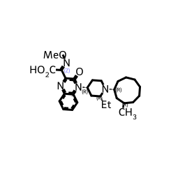 CC[C@@H]1C[C@H](n2c(=O)c(/C(=N/OC)C(=O)O)nc3ccccc32)CCN1[C@@H]1CCCCCC[C@@H](C)C1